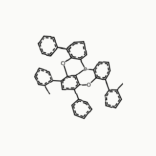 Cc1ccccc1-c1cccc2c1Oc1c(-c3ccccc3)cc(-c3ccccc3C)c3c1B2c1cccc(-c2ccccc2)c1O3